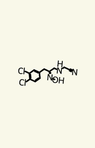 N#CCNCC(Cc1ccc(Cl)c(Cl)c1)=NO